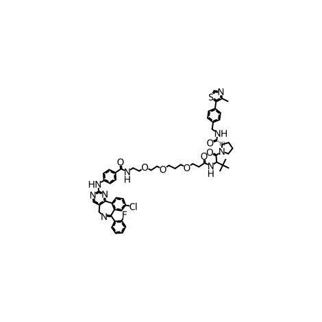 Cc1ncsc1-c1ccc(CNC(=O)[C@@H]2CCCN2C(=O)C(NC(=O)CCOCCCOCCOCCNC(=O)c2ccc(Nc3ncc4c(n3)-c3ccc(Cl)cc3C(c3ccccc3F)=NC4)cc2)C(C)(C)C)cc1